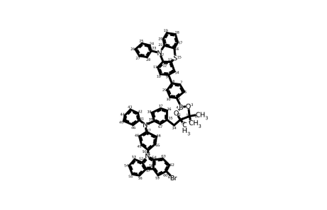 CC1(C)OB(c2ccc(-c3ccc4c(c3)Sc3ccccc3N4c3ccccc3)cc2)OC1(C)Cc1cccc(N(c2ccccc2)c2ccc(-n3c4ccccc4c4cc(Br)ccc43)cc2)c1